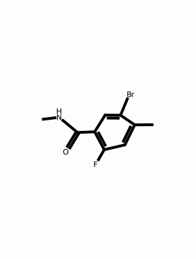 CNC(=O)c1cc(Br)c(C)cc1F